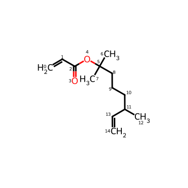 C=CC(=O)OC(C)(C)CCCC(C)C=C